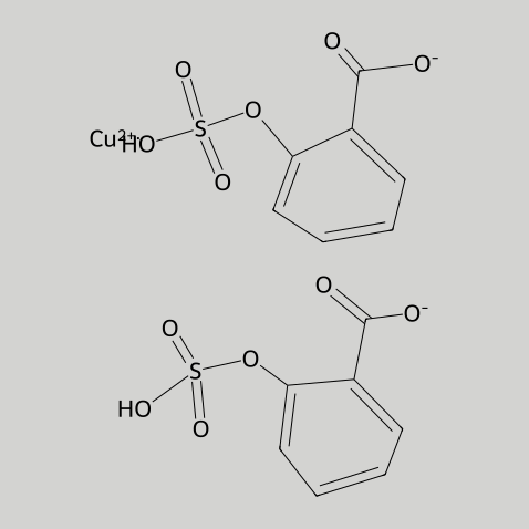 O=C([O-])c1ccccc1OS(=O)(=O)O.O=C([O-])c1ccccc1OS(=O)(=O)O.[Cu+2]